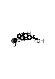 C[C@]12CC[C@H](SCCO)C[C@H]1CC[C@@H]1[C@@H]2CC[C@]2(C)[C@@H](C3=CC(=O)OC3)CC[C@@H]12